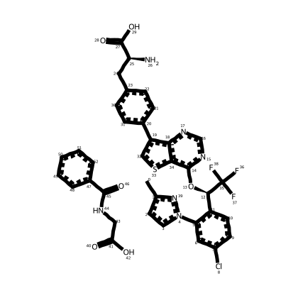 Cc1ccn(-c2cc(Cl)ccc2[C@@H](Oc2ncnc3c(-c4ccc(C[C@H](N)C(=O)O)cc4)csc23)C(F)(F)F)n1.O=C(O)CNC(=O)c1ccccc1